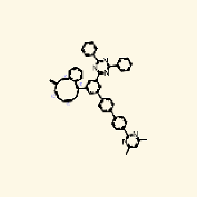 C=C1/C=C\C=C/C/C(c2cc(-c3ccc(-c4ccc(-c5nc(C)cc(C)n5)cc4)cc3)cc(-c3nc(-c4ccccc4)nc(-c4ccccc4)n3)c2)=c2/cccc/c2=C/1